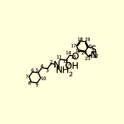 NN(CCCC1CCCCC1)CC(O)COc1cccc2sncc12